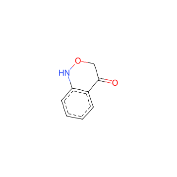 O=C1CONc2ccccc21